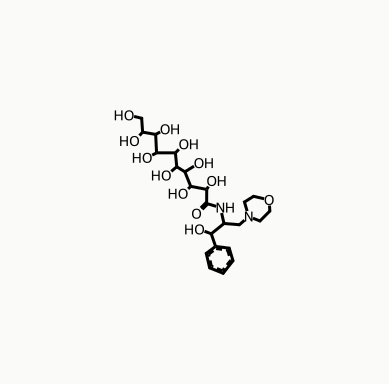 O=C(NC(CN1CCOCC1)C(O)c1ccccc1)C(O)C(O)C(O)C(O)C(O)C(O)C(O)C(O)CO